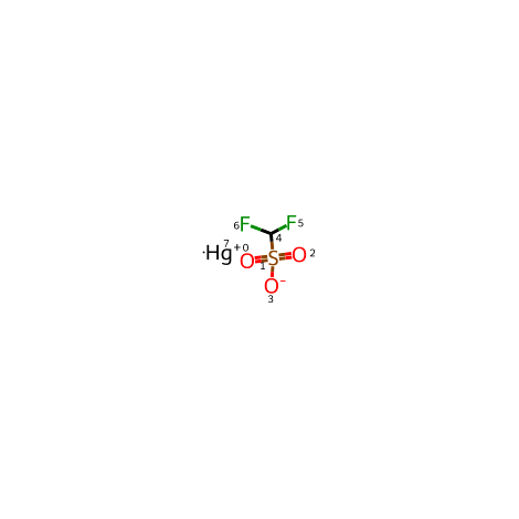 O=S(=O)([O-])C(F)F.[Hg+]